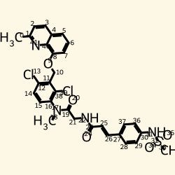 Cc1ccc2cccc(OCc3c(Cl)ccc(N(C)C(=O)CNC(=O)/C=C/c4ccc(NS(C)(=O)=O)cc4)c3Cl)c2n1